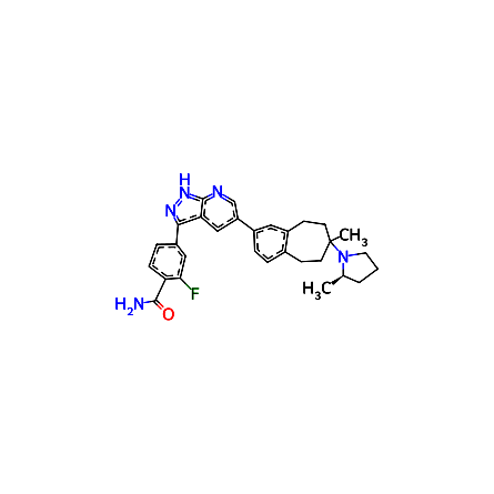 C[C@@H]1CCCN1C1(C)CCc2ccc(-c3cnc4[nH]nc(-c5ccc(C(N)=O)c(F)c5)c4c3)cc2CC1